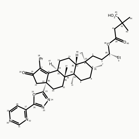 CC[C@H](CC[C@@]1(C)[C@H](C)CC[C@]2(C)[C@@H]1CC[C@@H]1C3=C(C(C)C)C(=O)C[C@]3(c3nnc(-c4ccncn4)o3)CC[C@]12C)OC(=O)CC(C)(C)C(=O)O